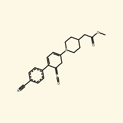 COC(=O)CC1CCN(C2=CC=C(c3ccc(C#N)cc3)C(=C=O)C2)CC1